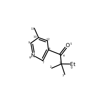 CCC(C)(C)C(=O)c1cncc(C)c1